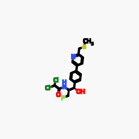 CSCc1ccc(-c2ccc([C@H](O)[C@@H](CF)NC(=O)C(Cl)Cl)cc2)cn1